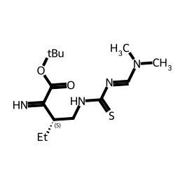 CC[C@@H](CNC(=S)N=CN(C)C)C(=N)C(=O)OC(C)(C)C